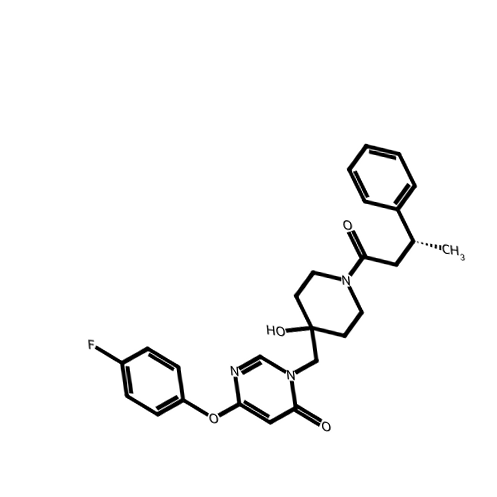 C[C@H](CC(=O)N1CCC(O)(Cn2cnc(Oc3ccc(F)cc3)cc2=O)CC1)c1ccccc1